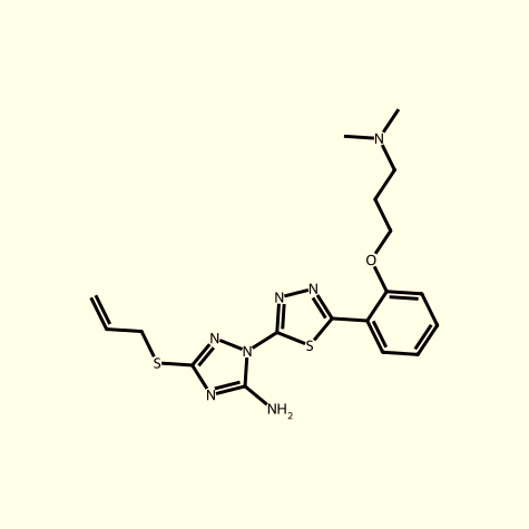 C=CCSc1nc(N)n(-c2nnc(-c3ccccc3OCCCN(C)C)s2)n1